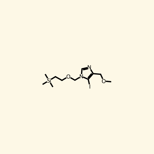 COCc1ncn(COCC[Si](C)(C)C)c1I